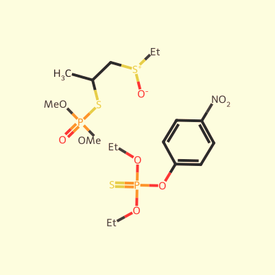 CCOP(=S)(OCC)Oc1ccc([N+](=O)[O-])cc1.CC[S+]([O-])CC(C)SP(=O)(OC)OC